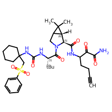 C#CCCC(NC(=O)[C@@H]1[C@@H]2C(CN1C(=O)[C@@H](NC(=O)NC1(CS(=O)(=O)c3ccccc3)CCCCC1)C(C)(C)C)C2(C)C)C(=O)C(N)=O